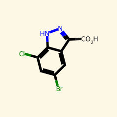 O=C(O)c1n[nH]c2c(Cl)cc(Br)cc12